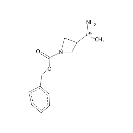 C[C@@H](N)C1CN(C(=O)OCc2ccccc2)C1